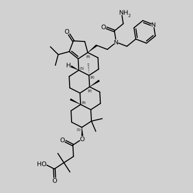 CC(C)C1=C2[C@H]3CCC4[C@@]5(C)CC[C@H](OC(=O)CC(C)(C)C(=O)O)C(C)(C)C5CC[C@@]4(C)[C@]3(C)CC[C@@]2(CCN(Cc2ccncc2)C(=O)CN)CC1=O